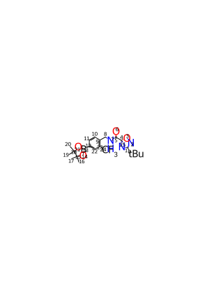 CC(C)(C)c1noc(C(=O)NCc2ccc(B3OC(C)(C)C(C)(C)O3)cc2C(F)(F)F)n1